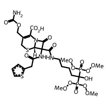 COOP(=O)(OOC)C(O)(CCCCNC(=O)C1(NC(=O)Cc2cccs2)C(=O)N2C(C(=O)O)=C(COC(N)=O)CS[C@H]21)P(=O)(OOC)OOC